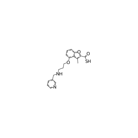 Cc1c(C(=O)S)oc2cccc(OCCCNCc3cccnc3)c12